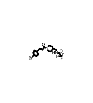 O=C(C=Cc1ccc(Br)cc1)N1CCC(CNC(=O)C(F)(F)F)CC1